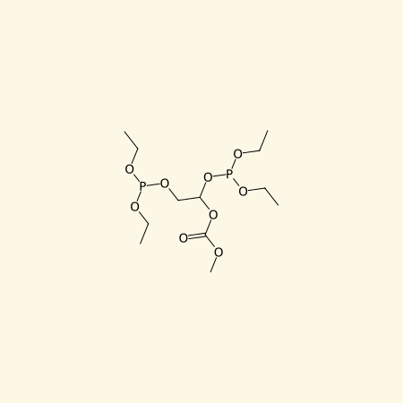 CCOP(OCC)OCC(OC(=O)OC)OP(OCC)OCC